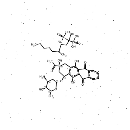 CC(=O)[C@]1(O)Cc2c(O)c3c(c(O)c2[C@@H](O[C@H]2C[C@H](N)[C@H](O)[C@H](C)O2)C1)C(=O)c1ccccc1C3=O.CCCCCN(C)CCC(O)(P(=O)(O)O)P(=O)(O)O